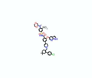 CN(c1ccc(S(=O)(=O)NC(=O)c2ccc(C3=CCN(CC4=C(c5ccc(Cl)cc5)CC(C)(C)CC4)CC3)cc2Oc2cnc3[nH]ccc3c2)cc1[N+](=O)[O-])[C@@H]1COCCO1